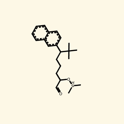 C[SiH](C)OC(C=O)CCCC(c1ccc2ccccc2c1)C(C)(C)C